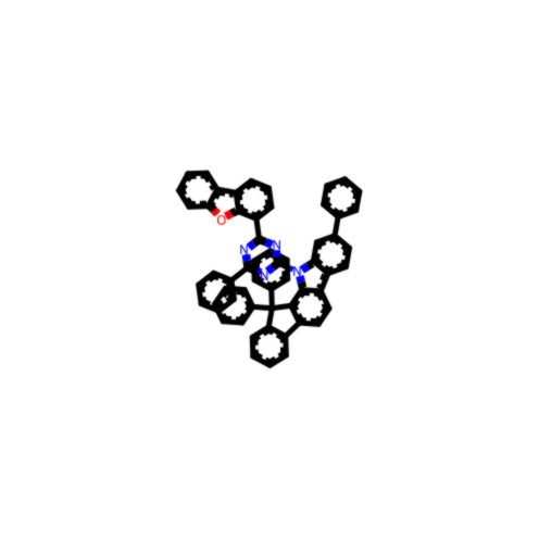 c1ccc(-c2ccc3c4ccc5c(c4n(-c4nc(-c6ccccc6)nc(-c6cccc7c6oc6ccccc67)n4)c3c2)C(c2ccccc2)(c2ccccc2)c2ccccc2-5)cc1